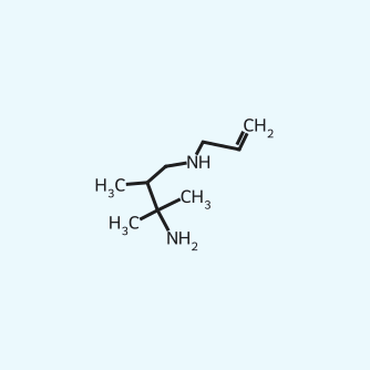 C=CCNCC(C)C(C)(C)N